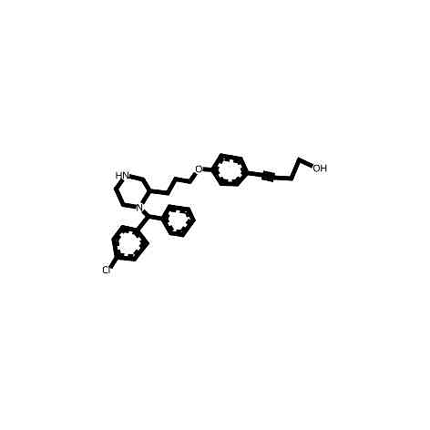 OCCC#Cc1ccc(OCCCC2CNCCN2C(c2ccccc2)c2ccc(Cl)cc2)cc1